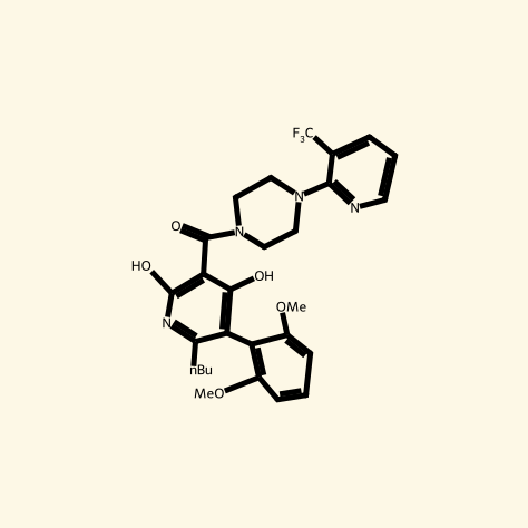 CCCCc1nc(O)c(C(=O)N2CCN(c3ncccc3C(F)(F)F)CC2)c(O)c1-c1c(OC)cccc1OC